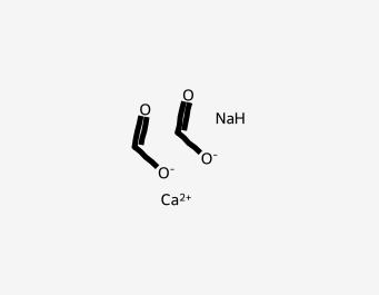 O=C[O-].O=C[O-].[Ca+2].[NaH]